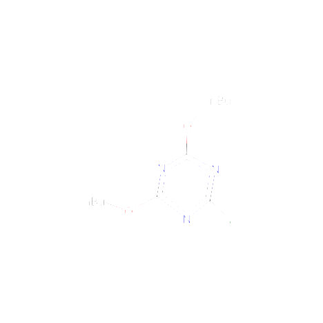 CCCCOc1nc(Cl)nc(OCCCC)n1